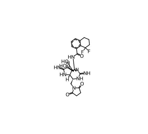 N=C1N[C@H]2[C@H](CN3C(=O)CCC3=O)NC(=N)N3CC(NC(=O)c4cccc5c4C(F)(F)CCC5)C(O)(O)C23N1